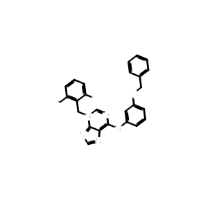 Clc1cccc(Cl)c1Cn1cnc(Nc2cccc(OCc3ccccc3)c2)c2ncnc1-2